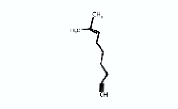 C#CCCCCC=C(C)C